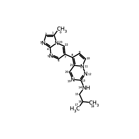 Cc1cnc2ncc(-c3ccn4nc(NCC(C)C)ncc34)cn12